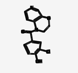 O=C(c1ccc(O)c(Cl)c1)N1CCOc2cnccc21